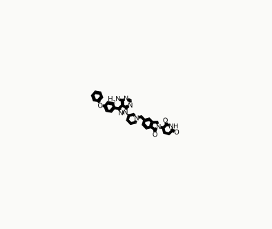 Nc1ncnc2c1c(-c1ccc(Oc3ccccc3)cc1)nn2[C@@H]1CCCN(Cc2ccc3c(c2)CN(C2CCC(=O)NC2=O)C3=O)C1